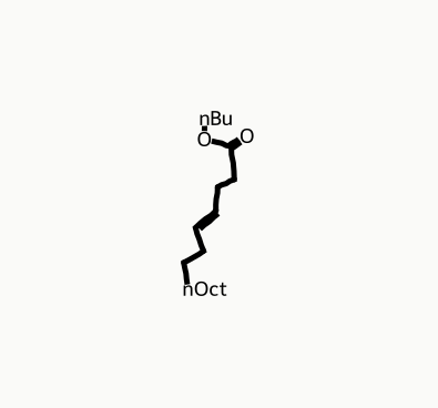 CCCCCCCCCCC=CCCC(=O)OCCCC